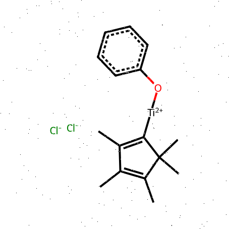 CC1=C(C)C(C)(C)[C]([Ti+2][O]c2ccccc2)=C1C.[Cl-].[Cl-]